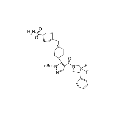 CCCCn1ncc(C(=O)N2CC(c3ccccc3)C(F)(F)C2)c1C1CCN(Cc2ccc(S(N)(=O)=O)cc2)CC1